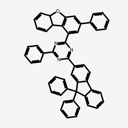 C1=CC2Oc3cc(-c4ccccc4)cc(-c4nc(-c5ccccc5)nc(-c5ccc6c(c5)C(c5ccccc5)(c5ccccc5)c5ccccc5-6)n4)c3C2C=C1